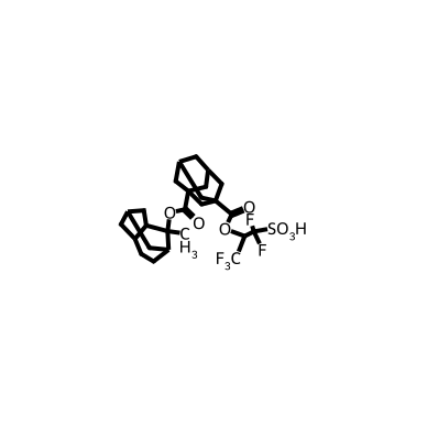 CC1(OC(=O)C23CC4CC(CC(C(=O)OC(C(F)(F)F)C(F)(F)S(=O)(=O)O)(C4)C2)C3)C2CCC3CC(C2)CC31